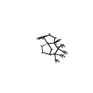 CC1(C)C2CC[C@]3(C2)C(=O)CC[C@@H]3C1(C)C